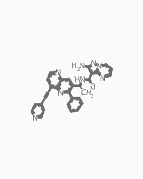 C[C@H](NC(=O)c1c(N)nn2cccnc12)c1cc2nccc(C#Cc3ccncc3)c2nc1-c1ccccc1